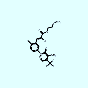 COCCOC(=O)C(Cl)=Cc1cc(-n2ncc(C(F)(F)F)c(C)c2=O)ccc1Cl